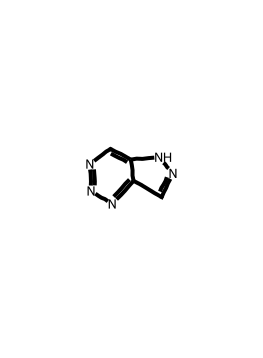 c1n[nH]c2cnnnc12